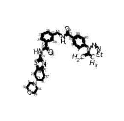 C=C(C)N(/N=N\CC)c1ccc(C(=O)NCc2cccc(C(=O)Nc3nc4c(s3)C[C@@H](N3CCOCC3)CC4)c2)cc1